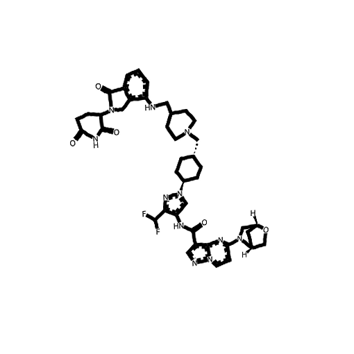 O=C1CCC(N2Cc3c(NCC4CCN(C[C@H]5CC[C@H](n6cc(NC(=O)c7cnn8ccc(N9C[C@H]%10C[C@@H]9CO%10)nc78)c(C(F)F)n6)CC5)CC4)cccc3C2=O)C(=O)N1